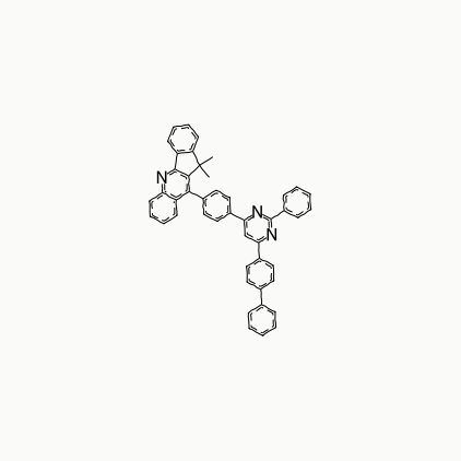 CC1(C)c2ccccc2-c2nc3ccccc3c(-c3ccc(-c4cc(-c5ccc(-c6ccccc6)cc5)nc(-c5ccccc5)n4)cc3)c21